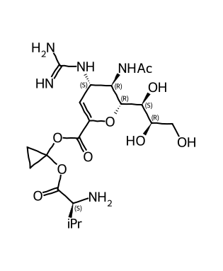 CC(=O)N[C@H]1[C@H]([C@@H](O)[C@H](O)CO)OC(C(=O)OC2(OC(=O)[C@@H](N)C(C)C)CC2)=C[C@@H]1NC(=N)N